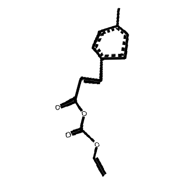 C=COC(=O)OC(=O)C=Cc1ccc(C)cc1